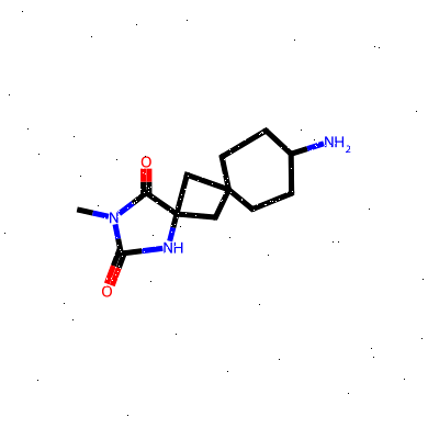 CN1C(=O)NC2(CC3(CCC(N)CC3)C2)C1=O